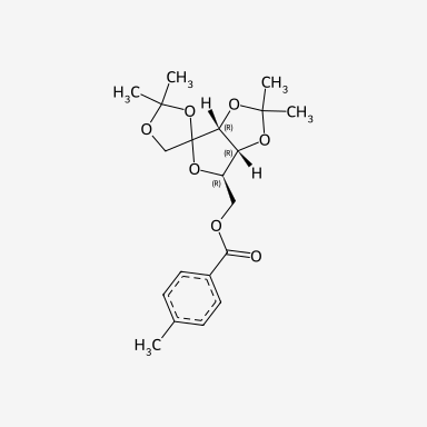 Cc1ccc(C(=O)OC[C@H]2OC3(COC(C)(C)O3)[C@@H]3OC(C)(C)O[C@@H]32)cc1